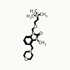 Cn1c(=O)n(COCC[Si](C)(C)C)c2cccc(CN3CCOCC3)c21